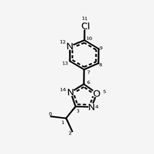 CC(C)c1noc(-c2ccc(Cl)nc2)n1